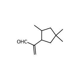 C=C(C=O)C1CC(C)(C)CC1C